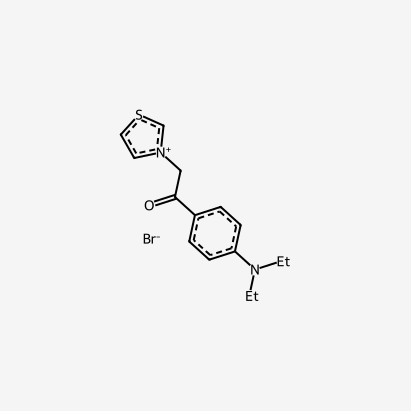 CCN(CC)c1ccc(C(=O)C[n+]2ccsc2)cc1.[Br-]